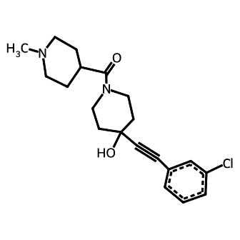 CN1CCC(C(=O)N2CCC(O)(C#Cc3cccc(Cl)c3)CC2)CC1